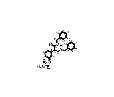 CS(=O)(=O)Oc1cccc(C(CNCc2ccccc2)C(=O)OCc2ccccc2)c1